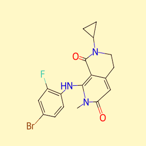 Cn1c(Nc2ccc(Br)cc2F)c2c(cc1=O)CCN(C1CC1)C2=O